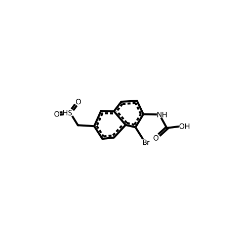 O=C(O)Nc1ccc2cc(C[SH](=O)=O)ccc2c1Br